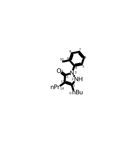 CCCCc1[nH]n(-c2ccccc2C)c(=O)c1CCC